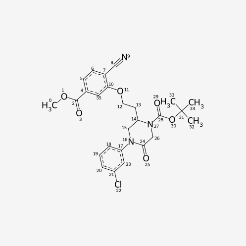 COC(=O)c1ccc(C#N)c(OCCC2CN(c3cccc(Cl)c3)C(=O)CN2C(=O)OC(C)(C)C)c1